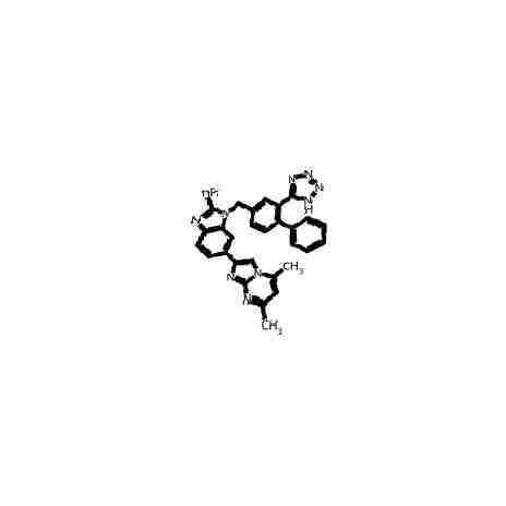 CCCc1nc2ccc(-c3cn4c(C)cc(C)nc4n3)cc2n1Cc1ccc(-c2ccccc2)c(-c2nnn[nH]2)c1